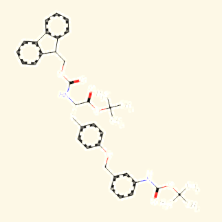 CC(C)(C)OC(=O)Nc1cccc(COc2ccc(C[C@H](NC(=O)OCC3c4ccccc4-c4ccccc43)C(=O)OC(C)(C)C)cc2)c1